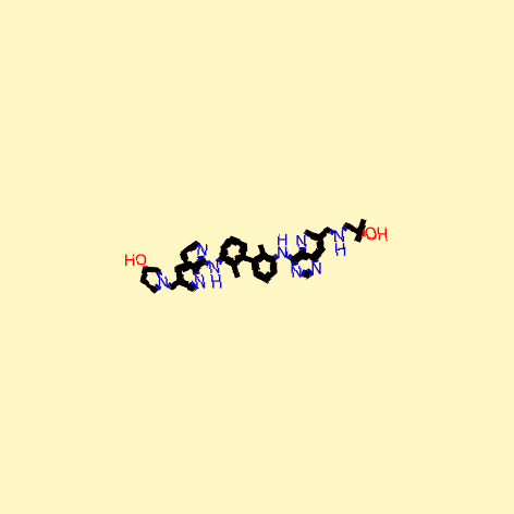 Cc1c(Nc2nccc3cc(CN4CCC(O)C4)cnc23)cccc1-c1cccc(Nc2ncnc3cc(CNCC(C)(C)O)cnc23)c1C